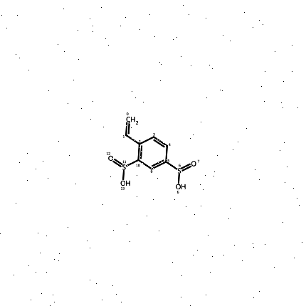 C=Cc1ccc(S(=O)O)cc1S(=O)O